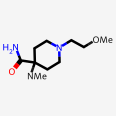 CNC1(C(N)=O)CCN(CCOC)CC1